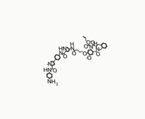 C=CCOC(=O)N1c2cc(OCCCC(=O)Nc3cc(C(=O)Nc4ccc(-c5cc(C(=O)Nc6ccc(N)cc6)n(C)c5)cc4)n(C)c3)c(OC)cc2C(=O)N2Cc3ccccc3C[C@H]2C1OC